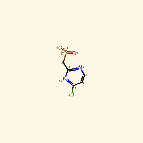 O=[SH](=O)Cc1nccc(Cl)n1